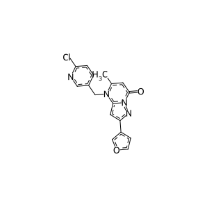 Cc1cc(=O)n2nc(-c3ccoc3)cc2n1Cc1ccc(Cl)nc1